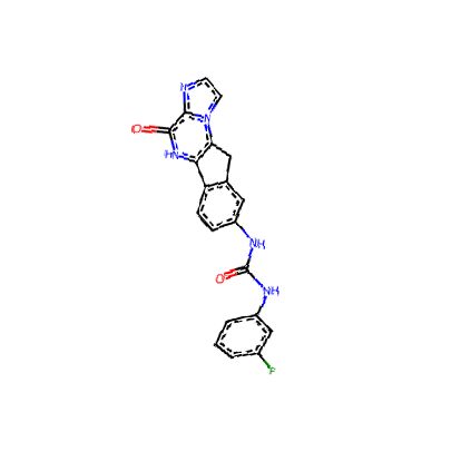 O=C(Nc1cccc(F)c1)Nc1ccc2c(c1)Cc1c-2[nH]c(=O)c2nccn12